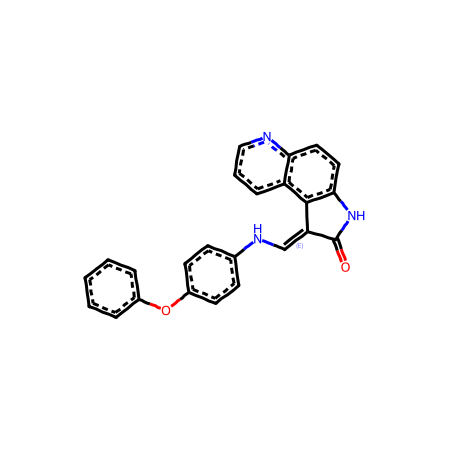 O=C1Nc2ccc3ncccc3c2/C1=C\Nc1ccc(Oc2ccccc2)cc1